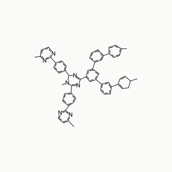 Cc1ccc(-c2cccc(-c3cc(C4=NC(c5ccc(-c6nccc(C)n6)cc5)N(C)C(c5ccc(-c6nccc(C)n6)cc5)=N4)cc(-c4cccc(C5=CCC(C)C=C5)c4)c3)c2)cc1